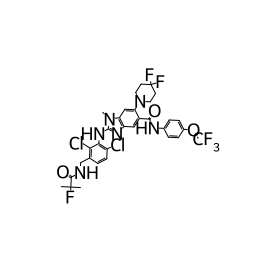 Cn1c(Nc2c(Cl)ccc(CNC(=O)C(C)(C)F)c2Cl)nc2cc(C(=O)Nc3ccc(OC(F)(F)F)cc3)c(N3CCC(F)(F)CC3)cc21